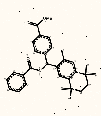 COC(=O)c1ccc(C(NC(=O)c2ccccc2)c2cc3c(cc2C)C(C)(C)CCC3(C)C)cc1